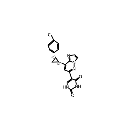 O=c1[nH]cc(-c2cc([C@H]3C[C@@H]3c3ccc(Cl)cc3)c3nccn3n2)c(=O)[nH]1